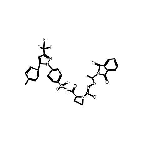 Cc1ccc(-c2cc(C(F)(F)F)nn2-c2ccc(S(=O)(=O)NC(=O)[C@@H]3CCN3/[N+]([O-])=N/OC(C)N3C(=O)c4ccccc4C3=O)cc2)cc1